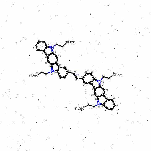 CCCCCCCCCCCCn1c2ccccc2c2cc3c(cc21)c1cc(/C=C/c2ccc4c(c2)c2cc5c(cc2n4CCCCCCCCCCCC)c2ccccc2n5CCCCCCCCCCCC)ccc1n3CCCCCCCCCCCC